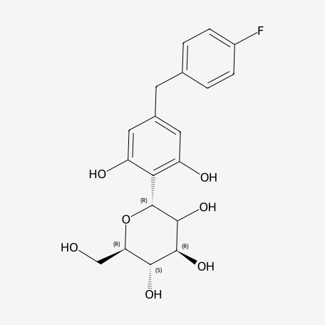 OC[C@H]1O[C@H](c2c(O)cc(Cc3ccc(F)cc3)cc2O)C(O)[C@@H](O)[C@@H]1O